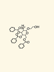 NC1C(OCCO)OC(COC(=O)c2ccccc2)C(OC(=O)c2ccccc2)C1OC(=O)c1ccccc1